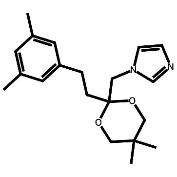 Cc1cc(C)cc(CCC2(Cn3ccnc3)OCC(C)(C)CO2)c1